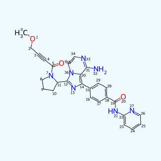 COCC#CC(=O)N1CCCC1c1nc(-c2ccc(C(=O)Nc3ccccn3)cc2)c2c(N)nccn12